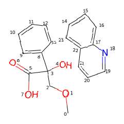 COCC(O)(C(=O)O)c1ccccc1.c1ccc2ncccc2c1